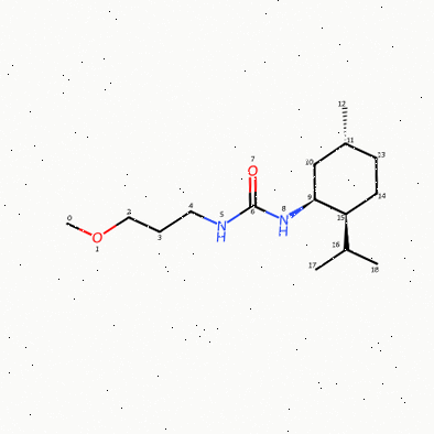 COCCCNC(=O)N[C@H]1C[C@H](C)CC[C@H]1C(C)C